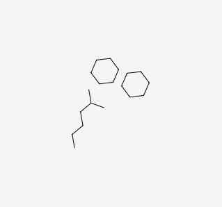 C1CCCCC1.C1CCCCC1.CCCCC(C)C